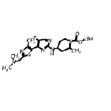 CC1CC(Nc2ncc(F)c(-c3sc(CN(C)C)nc3C(F)(F)F)n2)CCN1C(=O)OC(C)(C)C